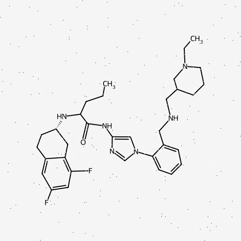 CCCC(N[C@H]1CCc2cc(F)cc(F)c2C1)C(=O)Nc1cn(-c2ccccc2CNCC2CCCN(CC)C2)cn1